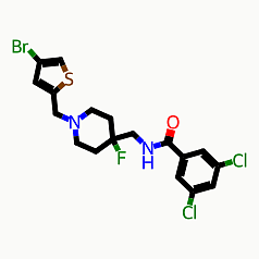 O=C(NCC1(F)CCN(Cc2cc(Br)cs2)CC1)c1cc(Cl)cc(Cl)c1